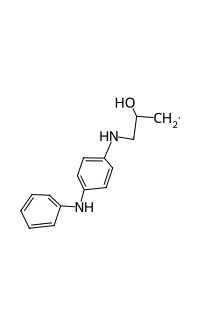 [CH2]C(O)CNc1ccc(Nc2ccccc2)cc1